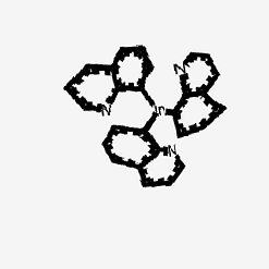 c1cnc2[c]([In]([c]3cccc4cccnc34)[c]3cccc4cccnc34)cccc2c1